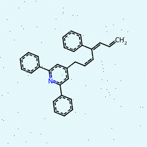 C=C/C=C(\C=C/Cc1cc(-c2ccccc2)nc(-c2ccccc2)c1)c1ccccc1